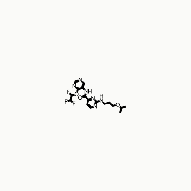 CC(C)OCCCNc1nccc(C(=O)Nc2cncnc2OC(F)C(F)F)n1